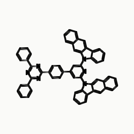 c1ccc(-c2nc(-c3ccccc3)nc(-c3ccc(-c4cc(-n5c6ccccc6c6cc7ccccc7cc65)nc(-n5c6ccccc6c6cc7ccccc7cc65)c4)cc3)n2)cc1